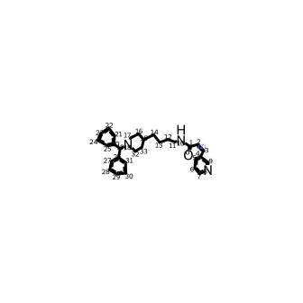 O=C(/C=C\c1cccnc1)NCCCCC1CCN(C(c2ccccc2)c2ccccc2)CC1